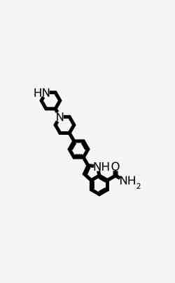 NC(=O)c1cccc2cc(-c3ccc(C4CCN(C5CCNCC5)CC4)cc3)[nH]c12